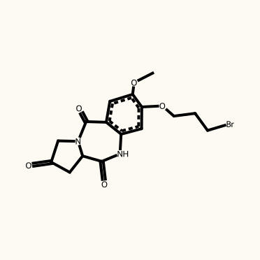 COc1cc2c(cc1OCCCBr)NC(=O)C1CC(=O)CN1C2=O